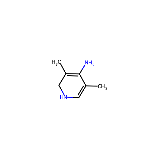 CC1=CNCC(C)=C1N